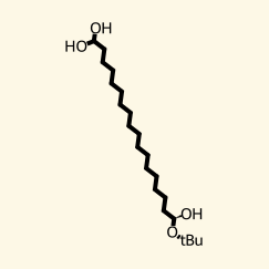 CC(C)(C)O[C@@H](O)CCCCCCCCCCCCCCCCC(O)O